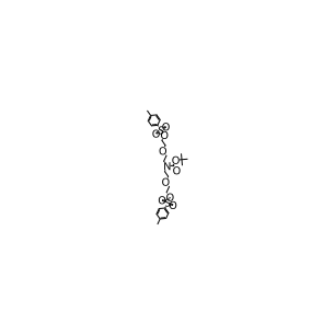 Cc1ccc(S(=O)(=O)OCCOCCN(CCOCCOS(=O)(=O)c2ccc(C)cc2)C(=O)OC(C)(C)C)cc1